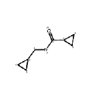 O=C([N]CC1CC1)C1CC1